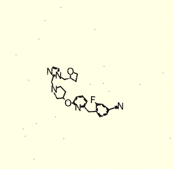 N#Cc1ccc(Cc2cccc(OC3CCN(Cc4nccn4C[C@@H]4CCO4)CC3)n2)c(F)c1